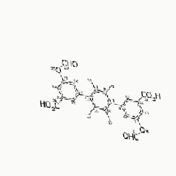 Cc1c(C)c(-c2cc(OC=O)cc(C(=O)O)c2)c(C)c(C)c1-c1cc(OC=O)cc(C(=O)O)c1